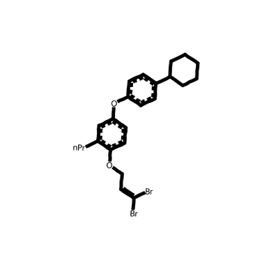 CCCc1cc(Oc2ccc(C3CCCCC3)cc2)ccc1OCC=C(Br)Br